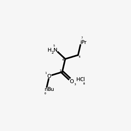 CCCCOC(=O)C(N)CC(C)C.Cl